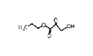 CCCOC(=O)C(=O)CO